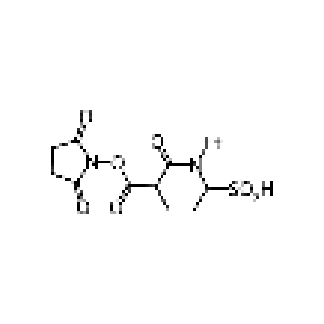 CCN(C(=O)C(C)C(=O)ON1C(=O)CCC1=O)C(C)S(=O)(=O)O